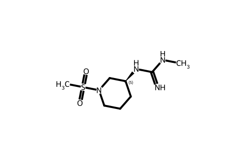 CNC(=N)N[C@H]1CCCN(S(C)(=O)=O)C1